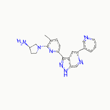 Cc1ccc(-c2n[nH]c3cnc(-c4cccnc4)cc23)nc1N1CC[C@@H](N)C1